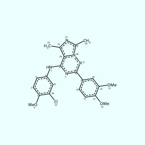 COc1ccc(Nc2nc(-c3ccc(OC)c(OC)c3)nn3c(C)nc(C)c23)cc1Cl